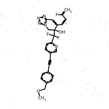 C=C(F)/C=C\C1=Cc2nnnn2CC1(O)C(F)(F)c1ccc(C#Cc2ccc(COC)cc2)cn1